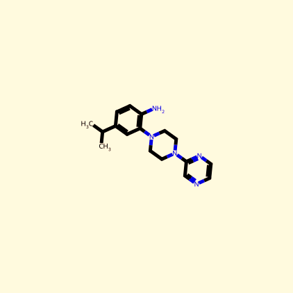 CC(C)c1ccc(N)c(N2CCN(c3cnccn3)CC2)c1